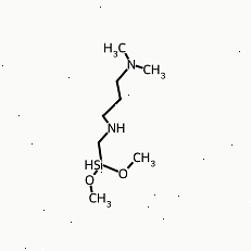 CO[SiH](CNCCCN(C)C)OC